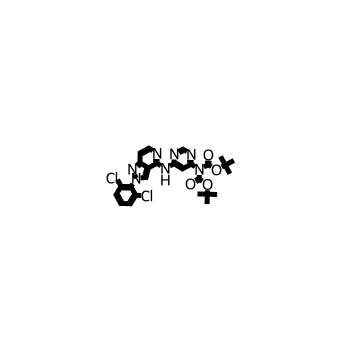 CC(C)(C)OC(=O)N(C(=O)OC(C)(C)C)c1cc(Nc2nccc3nn(-c4c(Cl)cccc4Cl)cc23)ncn1